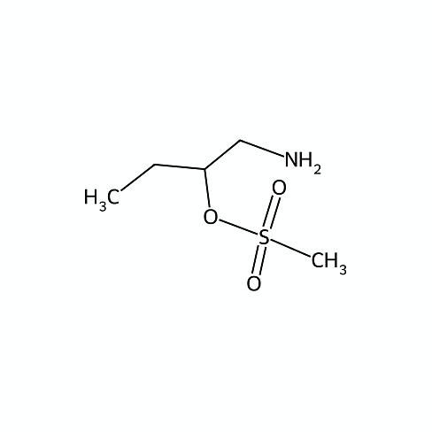 CCC(CN)OS(C)(=O)=O